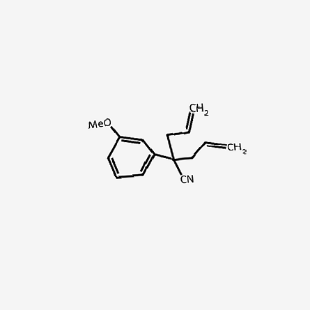 C=CCC(C#N)(CC=C)c1cccc(OC)c1